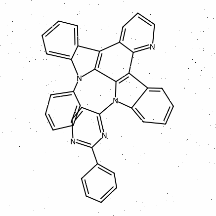 c1ccc(-c2nccc(-n3c4ccccc4c4c5ncccc5c5c6ccccc6n(-c6ccccc6)c5c43)n2)cc1